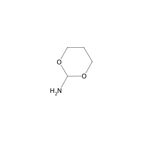 NC1OCCCO1